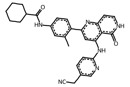 Cc1cc(NC(=O)C2CCCCC2)ccc1-c1cc(Nc2ccc(CC#N)cn2)c2c(=O)[nH]ccc2n1